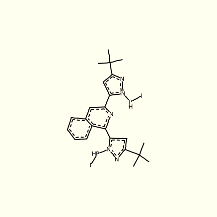 CC(C)(C)c1cc(-c2cc3ccccc3c(-c3cc(C(C)(C)C)nn3PI)n2)n(PI)n1